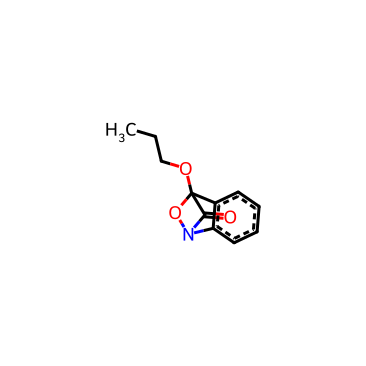 CCCOC12ON(C1=O)c1ccccc12